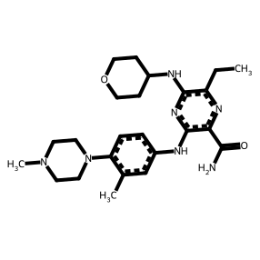 CCc1nc(C(N)=O)c(Nc2ccc(N3CCN(C)CC3)c(C)c2)nc1NC1CCOCC1